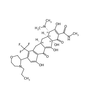 CCCN1CCOCC1c1cc(O)c2c(c1C(F)(F)F)C[C@H]1C[C@H]3[C@H](N(C)C)C(O)=C(C(=O)NC)C(=O)[C@@]3(O)C(O)=C1C2=O